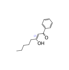 CCCCC/C(O)=C/C(=O)c1ccccc1